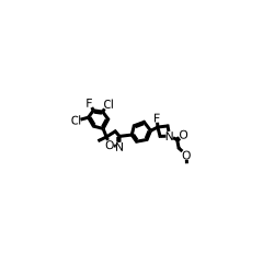 COCC(=O)N1CC(F)(c2ccc(C3=NOC(C)(c4cc(Cl)c(F)c(Cl)c4)C3)cc2)C1